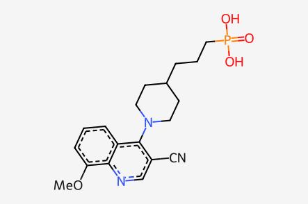 COc1cccc2c(N3CCC(CCCP(=O)(O)O)CC3)c(C#N)cnc12